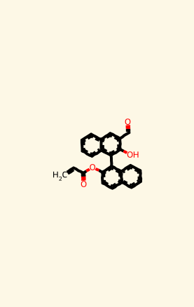 C=CC(=O)Oc1ccc2ccccc2c1-c1c(O)c(C=O)cc2ccccc12